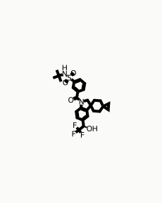 CC(C)(C)NS(=O)(=O)c1cccc(C(=O)N2CC3(CCC4(CC4)CC3)c3cc([C@@H](O)C(F)(F)F)ccc32)c1